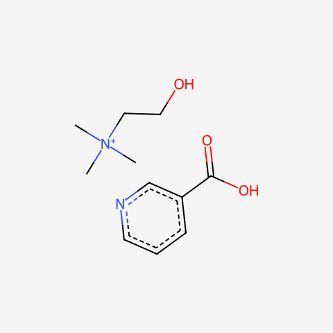 C[N+](C)(C)CCO.O=C(O)c1cccnc1